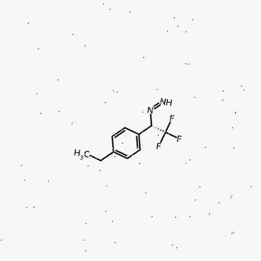 CCc1ccc([C@H](N=N)C(F)(F)F)cc1